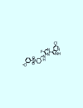 COc1cccc(S(=O)(=O)N2CCC[C@H](CNc3nc(-c4c[nH]c5ncc(Cl)cc45)ncc3F)C2)c1